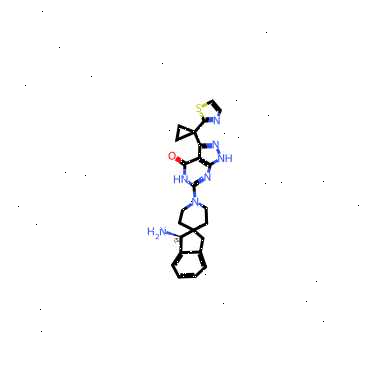 N[C@@H]1c2ccccc2CC12CCN(c1nc3[nH]nc(C4(c5nccs5)CC4)c3c(=O)[nH]1)CC2